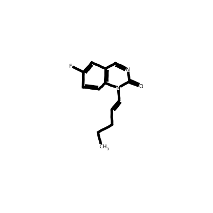 CCCC=Cn1c(=O)ncc2cc(F)ccc21